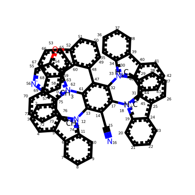 Cc1cccc2c3ccccc3n(-c3c(C#N)c(-n4c5ccccc5c5cccc(C)c54)c(-n4c5ccccc5c5cccc(C)c54)c(-c4cccc5oc6cnccc6c45)c3-n3c4ccccc4c4cccc(C)c43)c12